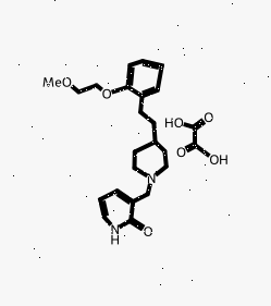 COCCOc1ccccc1CCC1CCN(Cc2ccc[nH]c2=O)CC1.O=C(O)C(=O)O